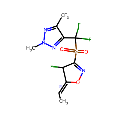 C/C=C1\ON=C(S(=O)(=O)C(F)(F)c2nn(C)nc2C(F)(F)F)C1F